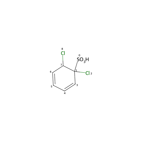 O=S(=O)(O)C1(Cl)C=CC=CC1Cl